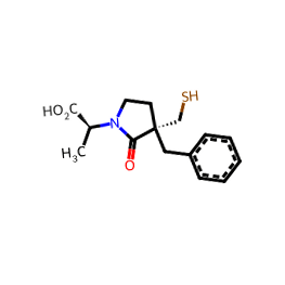 C[C@@H](C(=O)O)N1CC[C@@](CS)(Cc2ccccc2)C1=O